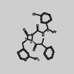 CCC[C@@H](NC(=O)N1C(=O)[C@H](Cc2ccnc(N)c2)[C@H]1C(=O)N(C)c1ccccc1)c1cccc(Cl)c1